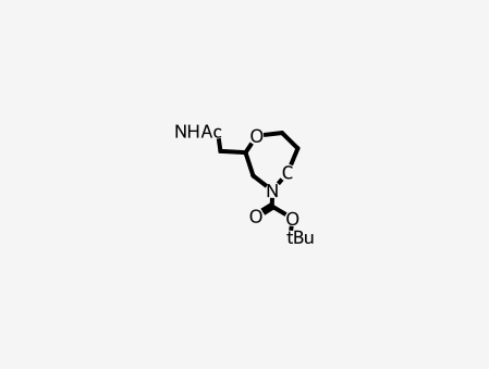 CC(=O)NCC1CN(C(=O)OC(C)(C)C)CCCO1